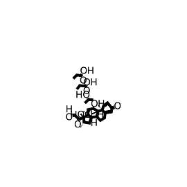 CC(C)O.CCC(=O)O.CCC(=O)O.C[C@H]1C[C@H]2[C@@H]3CCC4=CC(=O)C=C[C@]4(C)[C@@]3(Cl)[C@@H](O)C[C@]2(C)[C@@]1(O)C(=O)CO